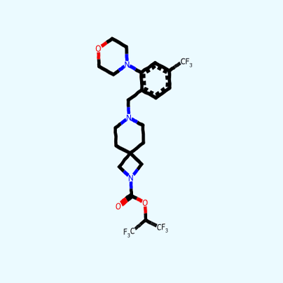 O=C(OC(C(F)(F)F)C(F)(F)F)N1CC2(CCN(Cc3ccc(C(F)(F)F)cc3N3CCOCC3)CC2)C1